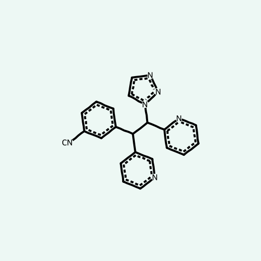 [C-]#[N+]c1cccc(C(c2cccnc2)C(c2ccccn2)n2ccnn2)c1